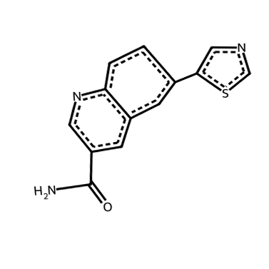 NC(=O)c1cnc2ccc(-c3cncs3)cc2c1